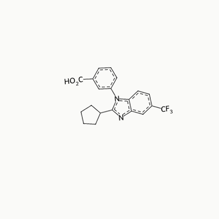 O=C(O)c1cccc(-n2c(C3CCCC3)nc3cc(C(F)(F)F)ccc32)c1